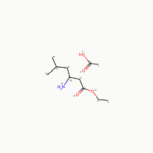 CC(=O)O.CCOC(=O)CC(N)CC(C)C